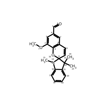 COc1cc(C=O)cc2c1OC1(C=C2)N(C)c2ccccc2C1(C)C